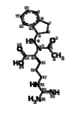 CC(=O)N(NC1CCc2ccccc21)[C@@H](CCCNC(=N)N)C(=O)O